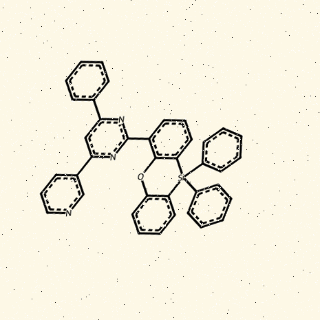 c1ccc(-c2cc(-c3cccnc3)nc(-c3cccc4c3Oc3ccccc3[Si]4(c3ccccc3)c3ccccc3)n2)cc1